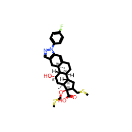 CSCO[C@]1(C(=O)O)C(CSC)C[C@H]2[C@@H]3CCC4=Cc5c(cnn5-c5ccc(F)cc5)C[C@]4(C)[C@H]3[C@@H](O)C[C@@]21C